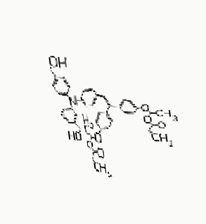 C=CC(=O)OC(C)Oc1ccc(C(=Cc2ccc(N(c3ccc(CO)cc3)c3cccc(CO)c3)cc2)c2ccc(OC(C)OC(=O)C=C)cc2)cc1